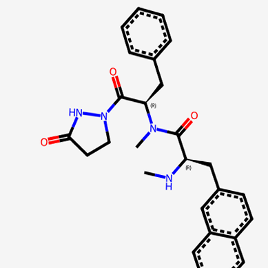 CN[C@H](Cc1ccc2ccccc2c1)C(=O)N(C)[C@H](Cc1ccccc1)C(=O)N1CCC(=O)N1